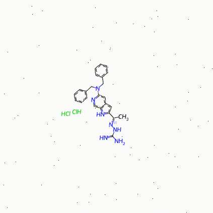 C/C(=N\NC(=N)N)c1cc2cc(N(Cc3ccccc3)Cc3ccccc3)ncc2[nH]1.Cl.Cl